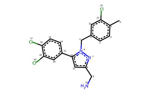 Cc1ccc(Cn2nc(CN)cc2-c2ccc(Cl)c(Cl)c2)cc1Cl